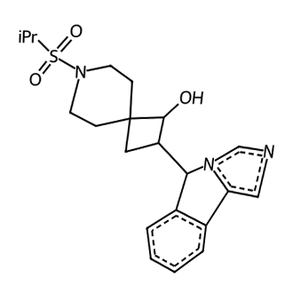 CC(C)S(=O)(=O)N1CCC2(CC1)CC(C1c3ccccc3-c3cncn31)C2O